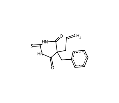 C=CCC1(Cc2ccccc2)C(=O)NC(=S)NC1=O